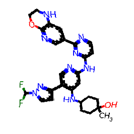 CC1(O)CCC(Nc2cc(Nc3ccnc(-c4cnc5c(c4)NCCO5)n3)ncc2-c2ccn(C(F)F)n2)CC1